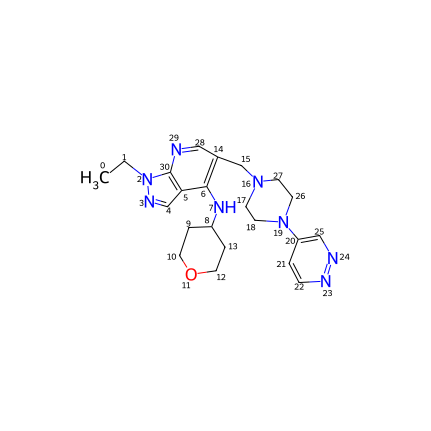 CCn1ncc2c(NC3CCOCC3)c(CN3CCN(c4ccnnc4)CC3)cnc21